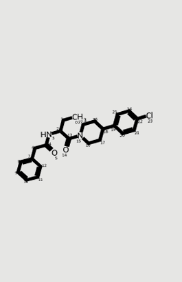 CCC(NC(=O)Cc1ccccc1)C(=O)N1CCC(c2ccc(Cl)cc2)CC1